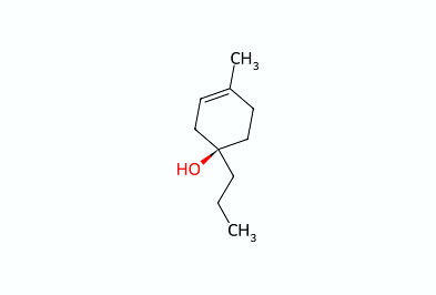 CCC[C@]1(O)CC=C(C)CC1